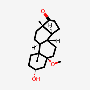 CO[C@]12CC[C@H]3[C@@H]4CCC(=O)[C@@]4(C)CC[C@@H]3[C@@]1(C)CC[C@@H](O)C2